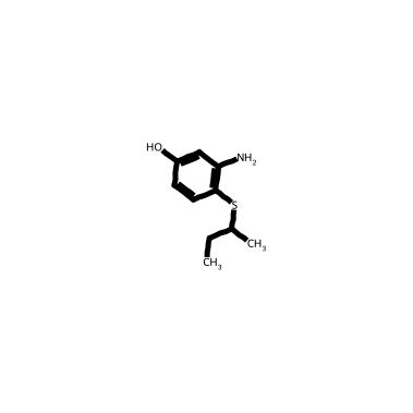 CCC(C)Sc1ccc(O)cc1N